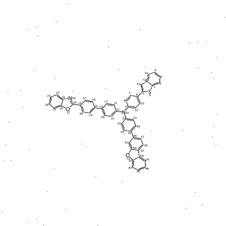 c1ccc2sc(-c3ccc(N(c4ccc(-c5ccc(-c6nc7ccccc7o6)cc5)cc4)c4ccc(-c5ccc6c(c5)oc5ccccc56)cc4)cc3)cc2c1